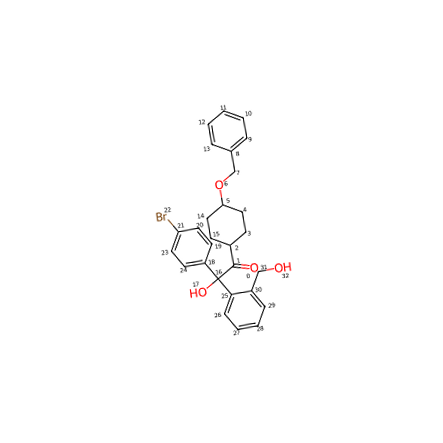 O=C(C1CCC(OCc2ccccc2)CC1)C(O)(c1ccc(Br)cc1)c1ccccc1CO